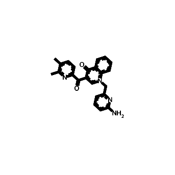 Cc1ccc(C(=O)c2cn(Cc3cccc(N)n3)c3ccccc3c2=O)nc1C